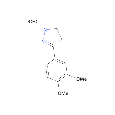 COc1ccc(C2=NN([C]=O)CC2)cc1OC